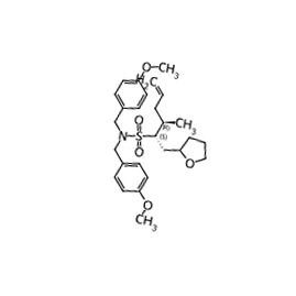 C=CC[C@@H](C)[C@H](CC1CCCO1)S(=O)(=O)N(Cc1ccc(OC)cc1)Cc1ccc(OC)cc1